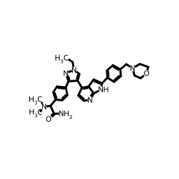 CCn1cc(-c2ccnc3[nH]c(-c4ccc(CN5CCOCC5)cc4)cc23)c(-c2ccc(C(C(N)=O)N(C)C)cc2)n1